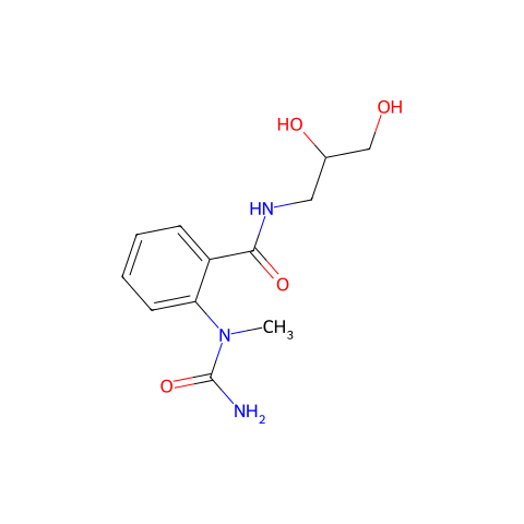 CN(C(N)=O)c1ccccc1C(=O)NCC(O)CO